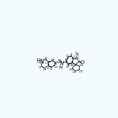 O=C1Nc2ccc(NSc3ccc4c(c3)CNCC4)cc2C12CCCC2